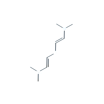 CN(C)C=COC=CN(C)C